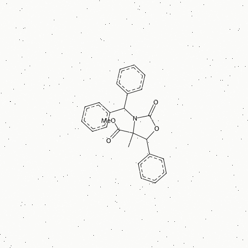 COC(=O)C1(C)C(c2ccccc2)OC(=O)N1C(c1ccccc1)c1ccccc1